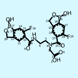 O=C(O)CN(CCNC(=O)c1cc2c(cc1F)B(O)OC2)C(=O)c1cc2c(cc1F)B(O)OC2